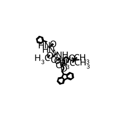 COC(=O)[C@H](CNC(=O)NCc1ccccc1)NC(=O)[C@@H]1C[C@@H](OC(C)(C)C)CN1C(=O)OCC1c2ccccc2-c2ccccc21